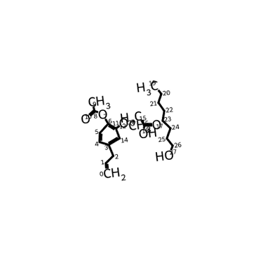 C=CCc1ccc(OC(C)=O)c(OC)c1.CC(=O)O.CCCCCCCCO